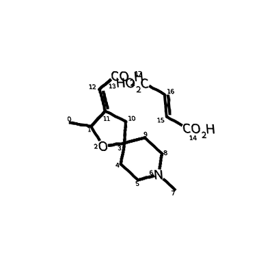 CC1OC2(CCN(C)CC2)CC1=CC(=O)O.O=C(O)C=CC(=O)O